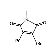 CC(C)C1=C(C(C)(C)C)C(=O)N(C)C1=O